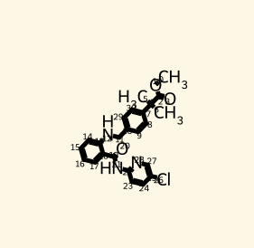 COC(=O)C(C)(C)c1ccc(CNc2ccccc2C(=O)Nc2ccc(Cl)cn2)cc1